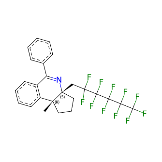 C[C@]12CCC[C@@]1(CC(F)(F)C(F)(F)C(F)(F)C(F)(F)C(F)(F)F)N=C(c1ccccc1)c1ccccc12